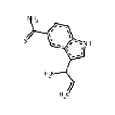 C=CC(N)c1c[nH]c2ccc(C(N)=S)cc12